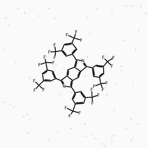 FC(F)(F)c1cc(C2=NC(c3cc(C(F)(F)F)cc(C(F)(F)F)c3)=c3cc4c(cc32)=C(c2cc(C(F)(F)F)cc(C(F)(F)F)c2)N=C4c2cc(C(F)(F)F)cc(C(F)(F)F)c2)cc(C(F)(F)F)c1